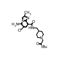 Cc1cn2c(N)c(Cl)cc(C(=O)NCC3CCN(CC(=O)C(C)(C)C)CC3)c2n1